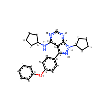 c1ccc(Oc2ccc(-c3nn(C4CCCC4)c4ncnc(NC5CCCC5)c34)cc2)cc1